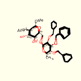 CO[C@@H]1O[C@H](CO[C@@H]2O[C@@H](C)[C@@H](OCc3ccccc3)[C@@H](OCc3ccccc3)[C@@H]2OCc2ccccc2)[C@@H](O)[C@H](O)[C@H]1NC(C)=O